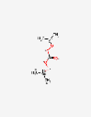 C[SiH](C)OO[Si](=O)OO[SiH](C)C